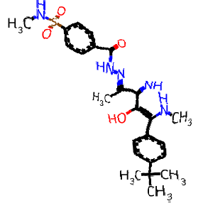 CN/C(=C(/O)C(=N)/C(C)=N/NC(=O)c1ccc(S(=O)(=O)NC)cc1)c1ccc(C(C)(C)C)cc1